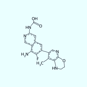 Cc1c(-c2cc3cc(NC(=O)O)ncc3c(N)c2F)cnc2c1NCCO2